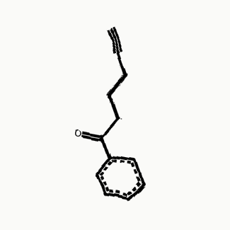 C#CCC[CH]C(=O)c1ccccc1